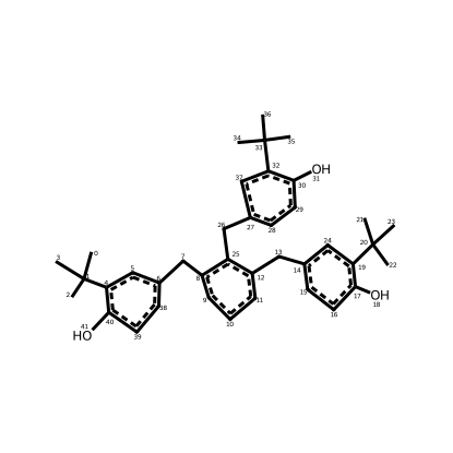 CC(C)(C)c1cc(Cc2cccc(Cc3ccc(O)c(C(C)(C)C)c3)c2Cc2ccc(O)c(C(C)(C)C)c2)ccc1O